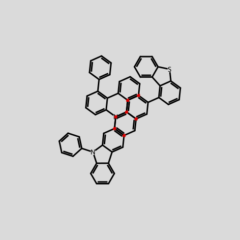 c1ccc(-c2ccccc2-c2c(-c3ccccc3)cccc2N(c2ccc(-c3cccc4sc5ccccc5c34)cc2)c2ccc3c4ccccc4n(-c4ccccc4)c3c2)cc1